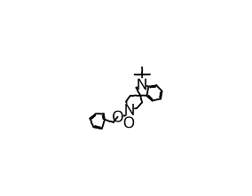 CC(C)(C)N1CC2(CCN(C(=O)OCc3ccccc3)CC2)c2ccccc21